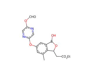 CCOC(=O)CC1OB(O)c2cc(Oc3cnc(OC=O)cn3)cc(C)c21